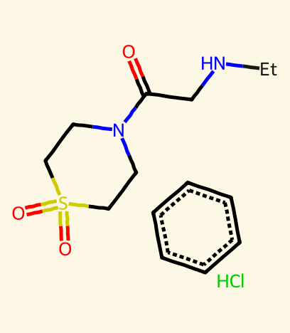 CCNCC(=O)N1CCS(=O)(=O)CC1.Cl.c1ccccc1